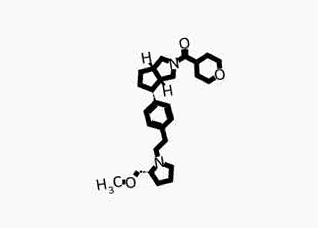 COC[C@H]1CCCN1CCc1ccc([C@@H]2CC[C@@H]3CN(C(=O)C4CCOCC4)C[C@@H]32)cc1